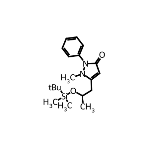 C[C@H](Cc1cc(=O)n(-c2ccccc2)n1C)O[Si](C)(C)C(C)(C)C